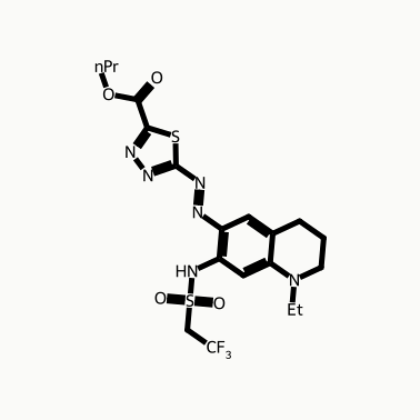 CCCOC(=O)c1nnc(N=Nc2cc3c(cc2NS(=O)(=O)CC(F)(F)F)N(CC)CCC3)s1